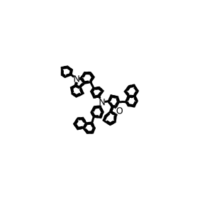 c1ccc(-n2c3ccccc3c3c(-c4ccc(N(c5ccc(-c6cccc7ccccc67)cc5)c5ccc(-c6cccc7ccccc67)c6oc7ccccc7c56)cc4)cccc32)cc1